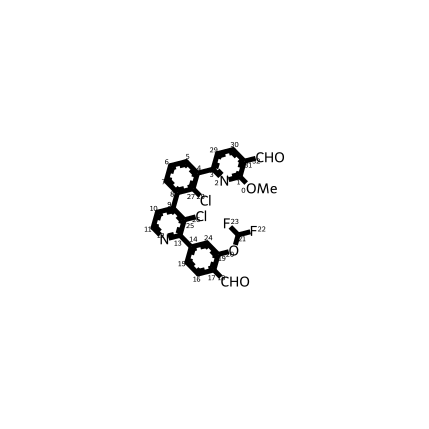 COc1nc(-c2cccc(-c3ccnc(-c4ccc(C=O)c(OC(F)F)c4)c3Cl)c2Cl)ccc1C=O